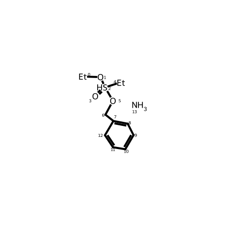 CCO[SH](=O)(CC)OCc1ccccc1.N